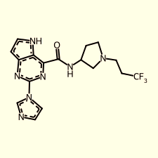 O=C(NC1CCN(CCC(F)(F)F)C1)c1nc(-n2ccnc2)nc2cc[nH]c12